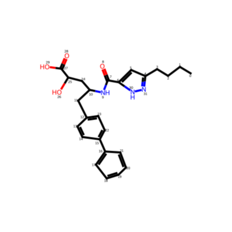 CCCCc1cc(C(=O)NC(Cc2ccc(-c3ccccc3)cc2)CC(O)C(=O)O)[nH]n1